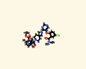 CC(C)N(C(=O)c1cc(F)ccc1Oc1cncnc1N1CC2(CCN(C(=O)[C@@H]3[C@@H]4CC[C@@H](CC4=O)N3C(=O)OC(C)(C)C)CC2)C1)C(C)C